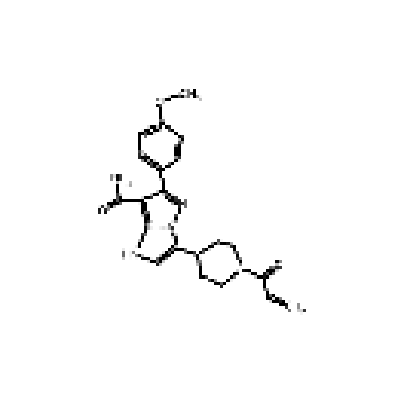 C=CC(=O)N1CCC(c2c[nH]c3c(C(N)=O)c(-c4ccc(OC)cc4)nn23)CC1